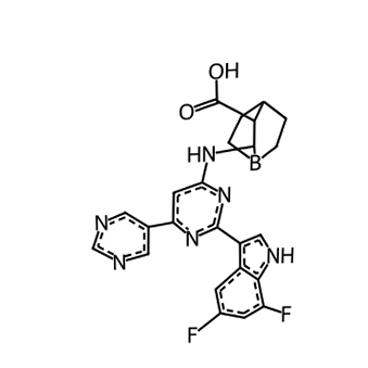 O=C(O)C1C2CCB(CC2)C1Nc1cc(-c2cncnc2)nc(-c2c[nH]c3c(F)cc(F)cc23)n1